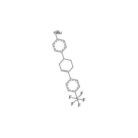 CCCCc1ccc(C2CC=C(c3ccc(S(F)(F)(F)(F)F)cc3)CC2)cc1